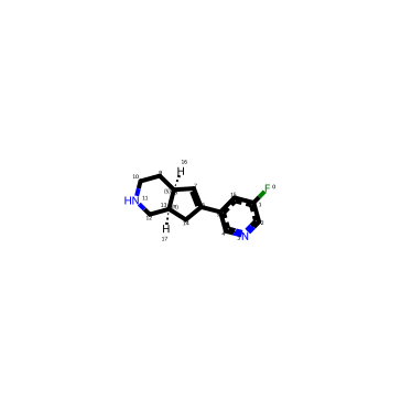 Fc1cncc(C2=C[C@@H]3CCNC[C@@H]3C2)c1